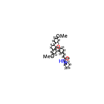 COc1ccc(-c2ccc3cc(OC)ccc3c2Oc2ccc(C=CC(=O)NN3CCCCC3)cc2)cc1